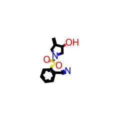 C=C1CN(S(=O)(=O)c2ccccc2C#N)CC1O